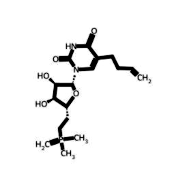 C=CCCc1cn([C@@H]2O[C@H](CCP(=C)(C)C)[C@@H](O)[C@H]2O)c(=O)[nH]c1=O